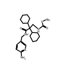 CC(C)(C)OC(=O)NCC(C(=O)NCc1ccc(N)nc1)(C1CCCCC1)C1CCCCC1